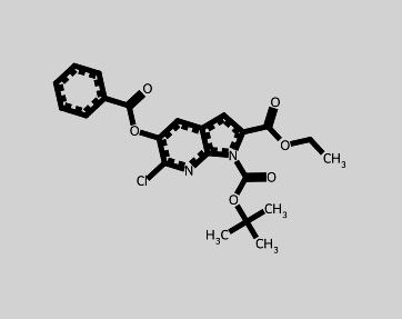 CCOC(=O)c1cc2cc(OC(=O)c3ccccc3)c(Cl)nc2n1C(=O)OC(C)(C)C